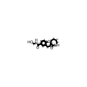 O=C(NCO)c1ccc2c(c1)CCC1(CCCCNC1=O)O2